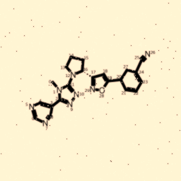 Cn1c(-c2cncnc2)nnc1N1CCC[C@@H]1c1cc(C2C=CC=C(C#N)C2)on1